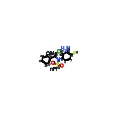 CCCS(=O)(=O)N(c1ccc(F)c(N)c1Cl)C(OC)c1ccccc1